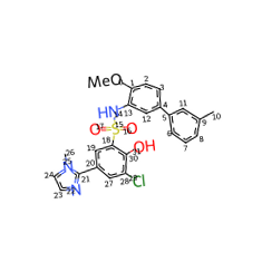 COc1ccc(-c2cccc(C)c2)cc1NS(=O)(=O)c1cc(-c2nccn2C)cc(Cl)c1O